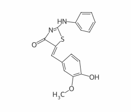 COc1cc(/C=C2\SC(Nc3ccccc3)=NC2=O)ccc1O